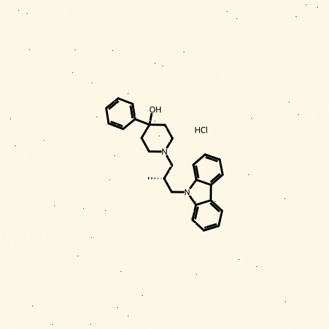 C[C@H](CN1CCC(O)(c2ccccc2)CC1)Cn1c2ccccc2c2ccccc21.Cl